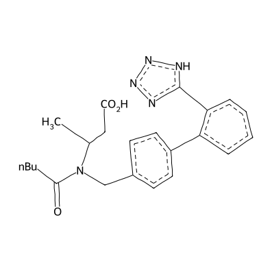 CCCCC(=O)N(Cc1ccc(-c2ccccc2-c2nnn[nH]2)cc1)C(C)CC(=O)O